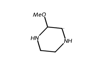 COC1[CH]NCCN1